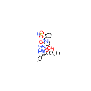 Cc1ccc([C@H](CC(=O)O)NC(=O)Nc2c(O)ccn(Cc3ccccc3S(=O)(=O)N(C)C)c2=O)cc1